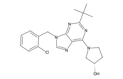 CC(C)(C)c1nc(N2CC[C@H](O)C2)c2ncn(Cc3ccccc3Cl)c2n1